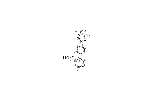 C[C@H]1CN(C(=O)O)[C@H](c2ccc(B3OC(C)(C)C(C)(C)O3)cc2)CO1